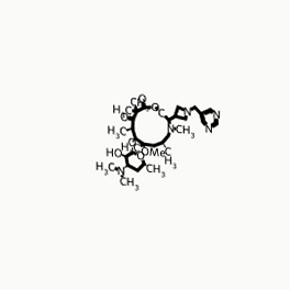 CO[C@]1(C)C[C@@H](C)CN(C)C(C2CN(Cc3cncnc3)C2)COC(=O)C(C)(C)C(=O)[C@H](C)[C@H]1O[C@@H]1O[C@H](C)C[C@H](N(C)C)[C@H]1O